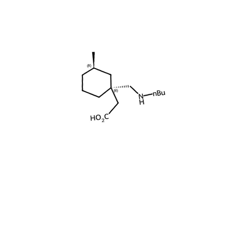 CCCCNC[C@]1(CC(=O)O)CCC[C@@H](C)C1